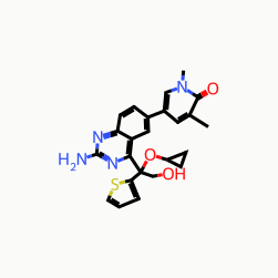 Cc1cc(-c2ccc3nc(N)nc(C(CO)(OC4CC4)c4cccs4)c3c2)cn(C)c1=O